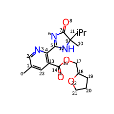 Cc1cnc(C2=NC(=O)C(C)(C(C)C)N2)c(C(=O)OCC2CCCO2)c1